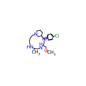 COCC1CNC2(Cc3ccc(Cl)cc3)CCCN(CCCCNC(C)CN1)C2